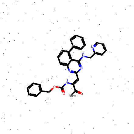 COC(=O)/C(=C/c1nc(NCc2ccccn2)c2c(-c3ccccc3)cccc2n1)NC(=O)OCc1ccccc1